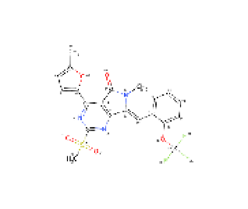 Cc1ccc(-c2nc(S(C)(=O)=O)nc3c2C(=O)N(C)/C3=C\c2ccccc2OC(F)(F)F)o1